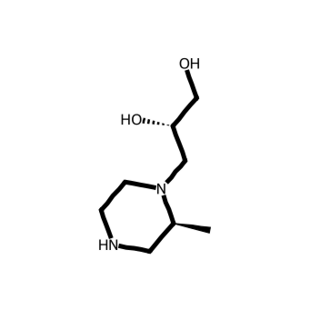 C[C@H]1CNCCN1C[C@H](O)CO